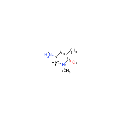 CC(=CCN)C(=O)N(C)C